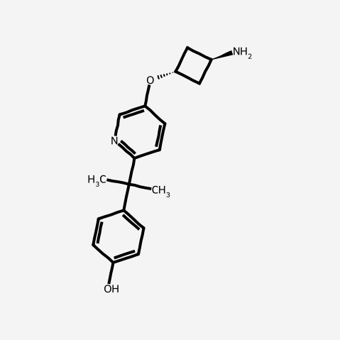 CC(C)(c1ccc(O)cc1)c1ccc(O[C@H]2C[C@H](N)C2)cn1